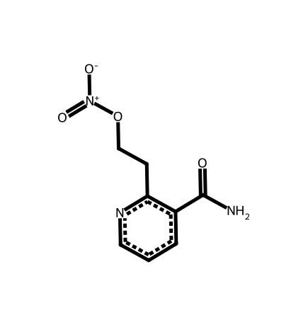 NC(=O)c1cccnc1CCO[N+](=O)[O-]